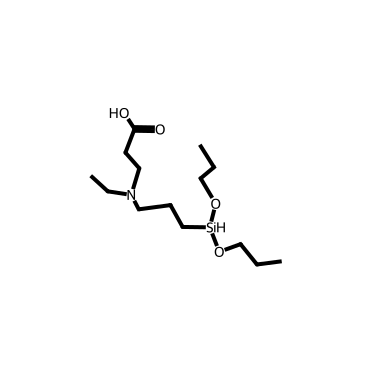 CCCO[SiH](CCCN(CC)CCC(=O)O)OCCC